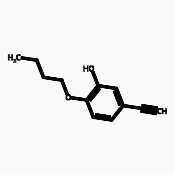 C#Cc1ccc(OCCCC)c(O)c1